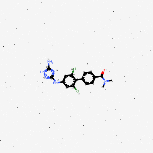 CN(C)C(=O)c1ccc(-c2c(Cl)cc(Nc3n[nH]c(N)n3)cc2Cl)cc1